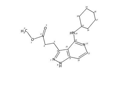 COC(=O)CCc1n[nH]c2ccnc(NC3CCCCC3)c12